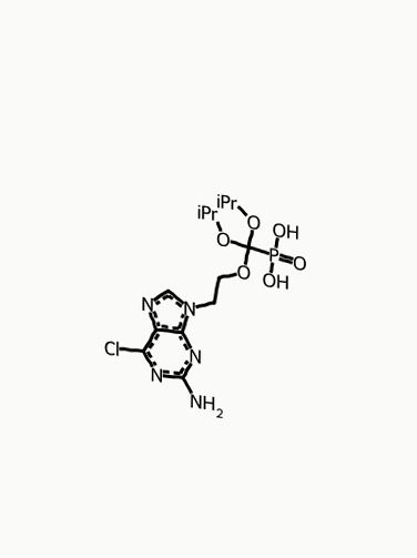 CC(C)OC(OCCn1cnc2c(Cl)nc(N)nc21)(OC(C)C)P(=O)(O)O